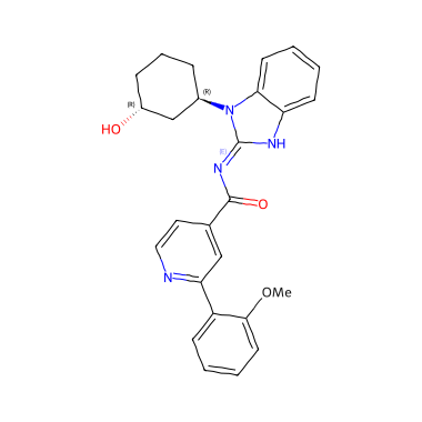 COc1ccccc1-c1cc(C(=O)/N=c2\[nH]c3ccccc3n2[C@@H]2CCC[C@@H](O)C2)ccn1